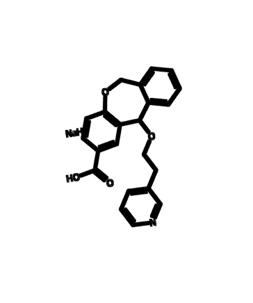 O=C(O)c1ccc2c(c1)C(OCCc1cccnc1)c1ccccc1CO2.[NaH]